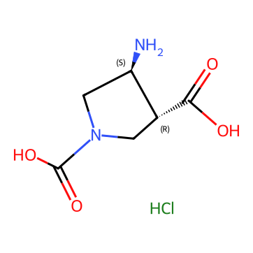 Cl.N[C@@H]1CN(C(=O)O)C[C@H]1C(=O)O